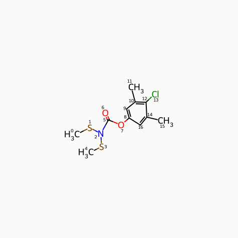 CSN(SC)C(=O)Oc1cc(C)c(Cl)c(C)c1